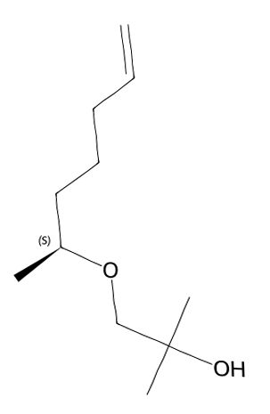 C=CCCC[C@H](C)OCC(C)(C)O